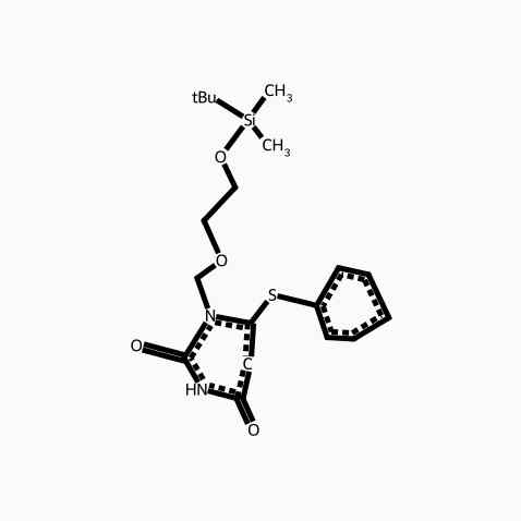 CC(C)(C)[Si](C)(C)OCCOCn1c(Sc2ccccc2)cc(=O)[nH]c1=O